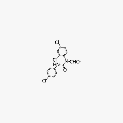 O=[C]N(C(=O)Nc1ccc(Cl)cc1)c1ccc(Cl)cc1Cl